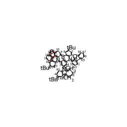 CC(C)(C)c1ccc2c(c1)B1c3ccc4oc5ccccc5c4c3N(c3ccc(C(C)(C)C)cc3-c3ccccc3)c3cc(N4c5ccc(C(C)(C)C)cc5C5(C)CCCCC45C)cc(c31)N2c1cccc2c1oc1ccccc12